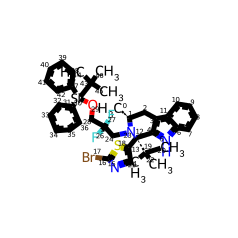 C[C@@H]1Cc2c([nH]c3ccccc23)[C@](c2cnc(Br)s2)(C(C)(C)C)N1CC(F)(F)CO[Si](c1ccccc1)(c1ccccc1)C(C)(C)C